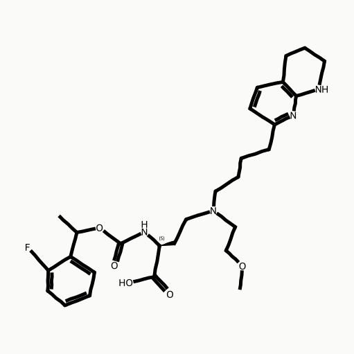 COCCN(CCCCc1ccc2c(n1)NCCC2)CC[C@H](NC(=O)OC(C)c1ccccc1F)C(=O)O